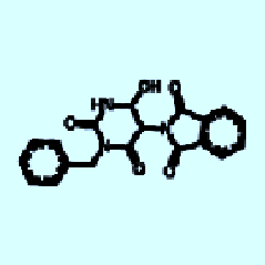 O=C1NC(O)C(N2C(=O)c3ccccc3C2=O)C(=O)N1Cc1ccccc1